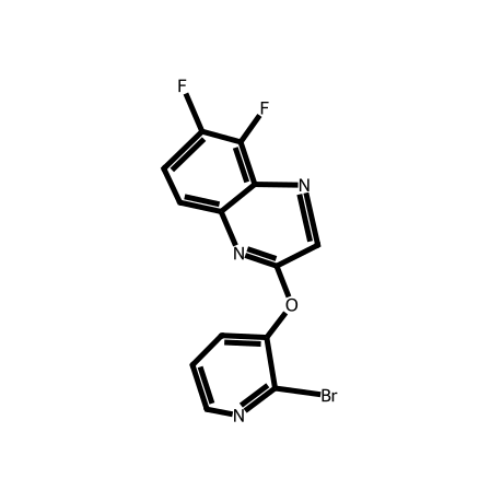 Fc1ccc2nc(Oc3cccnc3Br)cnc2c1F